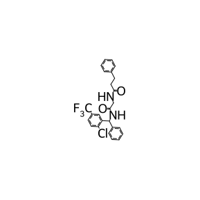 O=C(CCc1ccccc1)NCC(=O)NC(c1ccccc1)c1cc(C(F)(F)F)ccc1Cl